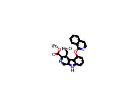 COCc1c(C(=O)OC(C)C)ncc2[nH]c3cccc(Oc4nccc5ccccc45)c3c12